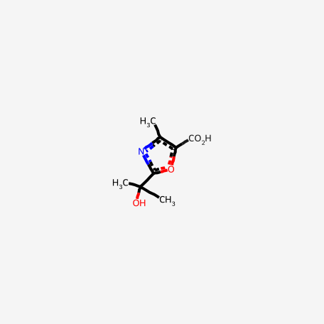 Cc1nc(C(C)(C)O)oc1C(=O)O